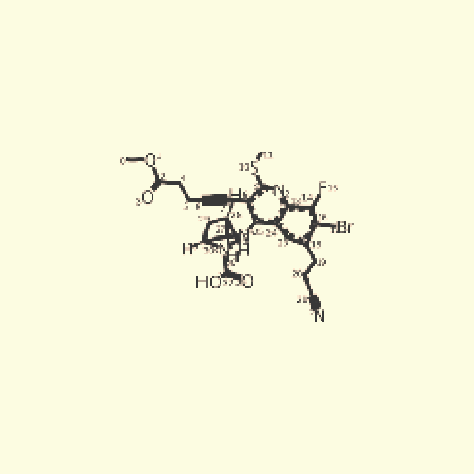 COC(=O)CCC#Cc1c(SC)nc2c(F)c(Br)c(CCC#N)cc2c1N[C@H]1[C@@H]2C[C@H]1N(C(=O)O)C2